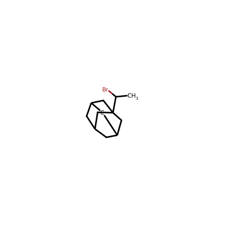 CC(Br)C12CC3CC(CC(C3)C1)C2